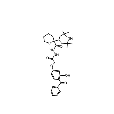 CC1(C)CC(C2(C(=O)NNC(=O)COc3ccc(C(=O)c4ccccc4)c(O)c3)CCCCO2)CC(C)(C)N1